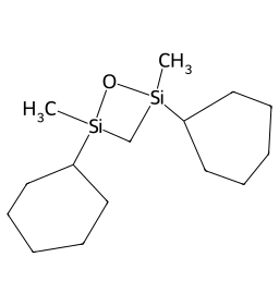 C[Si]1(C2CCCCC2)C[Si](C)(C2CCCCC2)O1